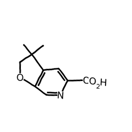 CC1(C)COc2cnc(C(=O)O)cc21